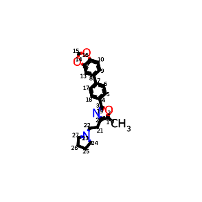 Cc1oc(-c2ccc(-c3ccc4c(c3)OCO4)cc2)nc1CCN1CCCC1